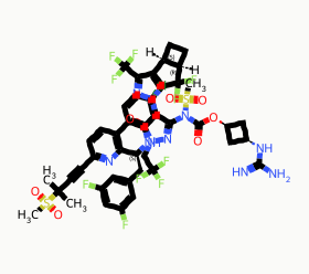 CC(C)(C#Cc1ccc(-c2ccc(Cl)c3c(N(C(=O)O[C@H]4C[C@@H](NC(=N)N)C4)S(C)(=O)=O)nn(CC(F)(F)F)c23)c([C@H](Cc2cc(F)cc(F)c2)NC(=O)Cn2nc(C(F)(F)F)c3c2C(F)(F)[C@@H]2CC[C@H]32)n1)S(C)(=O)=O